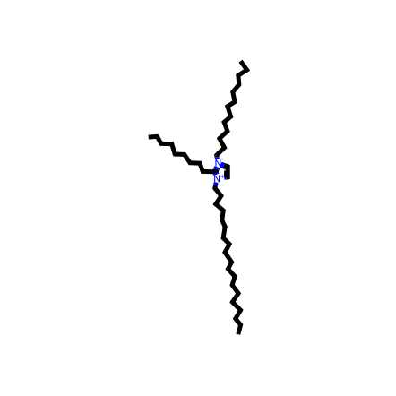 CCCCCCCCCCCCCCCCCCC[n+]1ccn(CCCCCCCCCCCCC)c1CCCCCCCCC